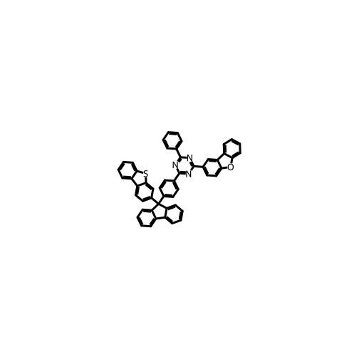 c1ccc(-c2nc(-c3ccc(C4(c5ccc6c(c5)sc5ccccc56)c5ccccc5-c5ccccc54)cc3)nc(-c3ccc4oc5ccccc5c4c3)n2)cc1